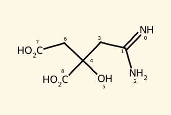 N=C(N)CC(O)(CC(=O)O)C(=O)O